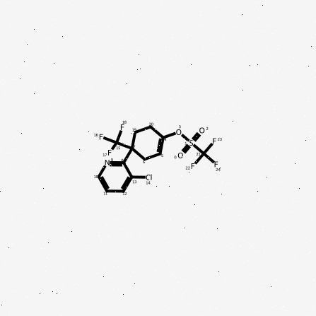 O=S(=O)(OC1=CCC(c2ncccc2Cl)(C(F)(F)F)CC1)C(F)(F)F